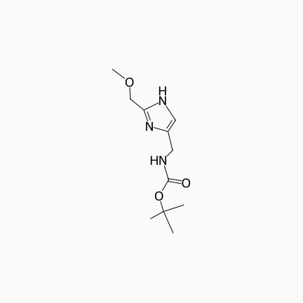 COCc1nc(CNC(=O)OC(C)(C)C)c[nH]1